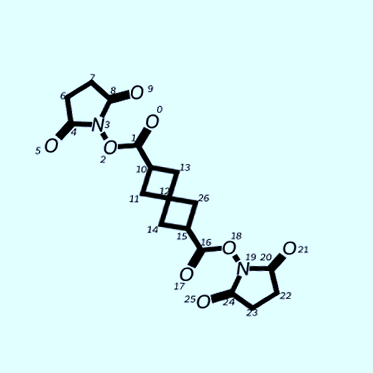 O=C(ON1C(=O)CCC1=O)C1CC2(C1)CC(C(=O)ON1C(=O)CCC1=O)C2